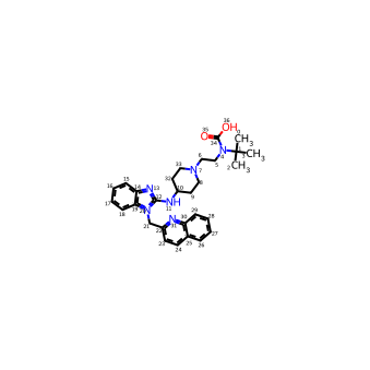 CC(C)(C)N(CCN1CCC(Nc2nc3ccccc3n2Cc2ccc3ccccc3n2)CC1)C(=O)O